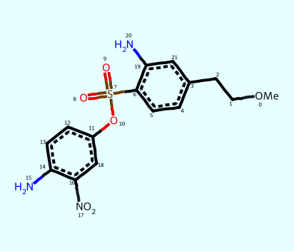 COCCc1ccc(S(=O)(=O)Oc2ccc(N)c([N+](=O)[O-])c2)c(N)c1